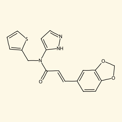 O=C(C=Cc1ccc2c(c1)OCO2)N(Cc1cccs1)c1ccn[nH]1